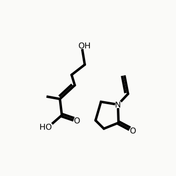 C/C(=C\CCO)C(=O)O.C=CN1CCCC1=O